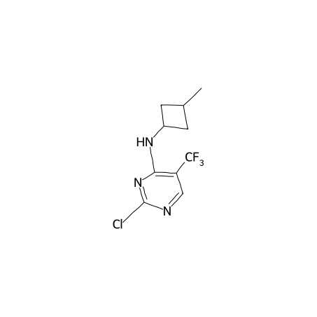 CC1CC(Nc2nc(Cl)ncc2C(F)(F)F)C1